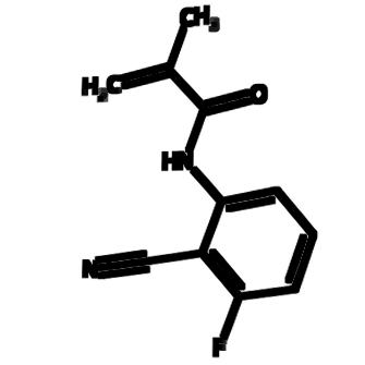 C=C(C)C(=O)Nc1cccc(F)c1C#N